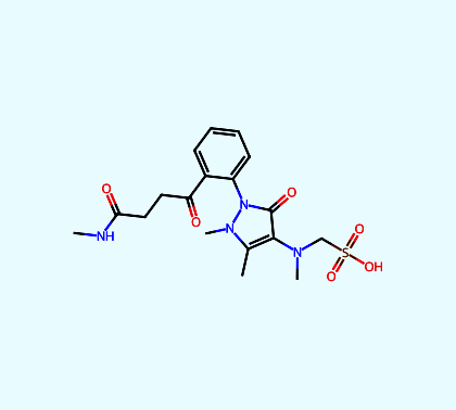 CNC(=O)CCC(=O)c1ccccc1-n1c(=O)c(N(C)CS(=O)(=O)O)c(C)n1C